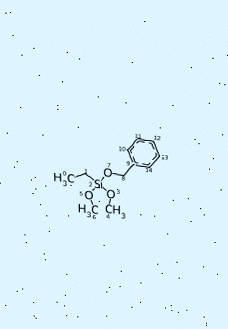 CC[Si](OC)(OC)OCc1ccccc1